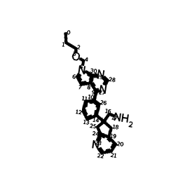 CCCOCn1ccc2c(-c3cccc(C4(CN)Cc5cccnc5C4)c3)ncnc21